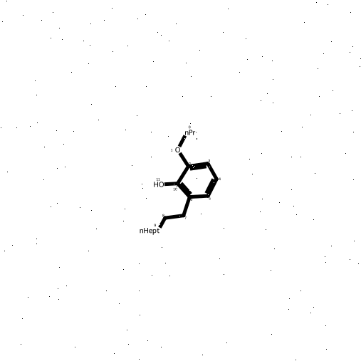 CC[CH]Oc1cccc(CCCCCCCCC)c1O